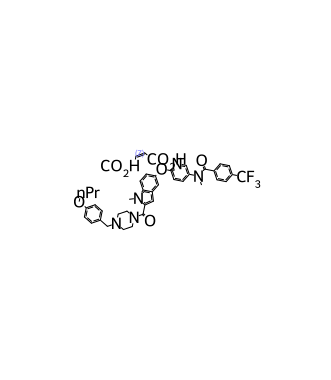 CCCOc1ccc(CN2CCN(C(=O)c3cc4cc(Oc5ccc(N(C)C(=O)c6ccc(C(F)(F)F)cc6)cn5)ccc4n3C)CC2)cc1.O=C(O)/C=C\C(=O)O